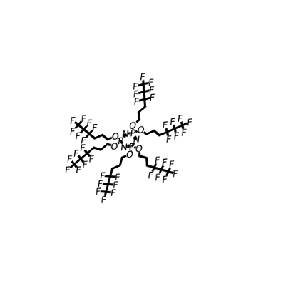 FC(F)(F)C(F)(F)C(F)(F)CCCOP1(OCCCC(F)(F)C(F)(F)C(F)(F)F)=NP(OCCCC(F)(F)C(F)(F)C(F)(F)F)(OCCCC(F)(F)C(F)(F)C(F)(F)F)=NP(OCCCC(F)(F)C(F)(F)C(F)(F)F)(OCCCC(F)(F)C(F)(F)C(F)(F)F)=N1